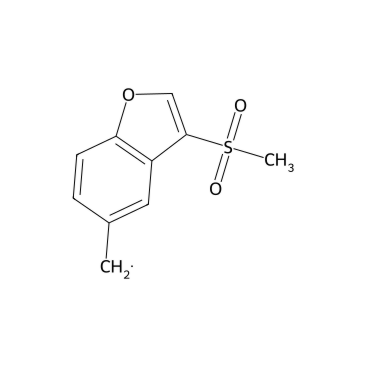 [CH2]c1ccc2occ(S(C)(=O)=O)c2c1